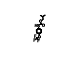 CC(C)COC(=O)Nc1ccc(OC(F)(F)F)cc1